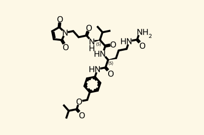 CC(C)C(=O)OCc1ccc(NC(=O)[C@H](CCCNC(N)=O)NC(=O)[C@@H](NC(=O)CCN2C(=O)C=CC2=O)C(C)C)cc1